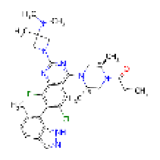 C=CC(=O)N1C[C@H](C)N(c2nc(N3CC(C)(N(C)C)C3)nc3c(F)c(-c4c(C)ccc5cn[nH]c45)c(Cl)cc23)C[C@H]1C